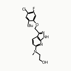 CN(CCO)c1ccc2c(COc3cc(F)c(Cl)cc3C(C)(C)C)n[nH]c2n1